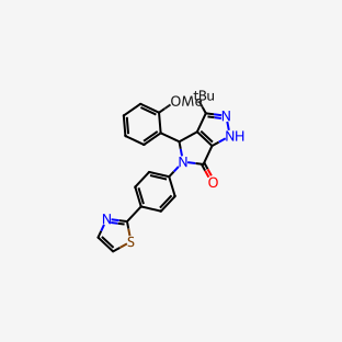 COc1ccccc1C1c2c(C(C)(C)C)n[nH]c2C(=O)N1c1ccc(-c2nccs2)cc1